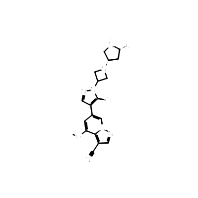 COc1cc(-c2cnn(C3CN([C@H]4CN[C@@H](C)C4)C3)c2C)cn2ncc(C#N)c12